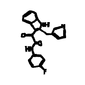 O=C(Nc1ccc(F)cc1)C(=O)c1c(Cc2cccnc2)[nH]c2ccccc12